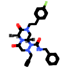 C#CCN1CC(=O)N2[C@@H](C(C)CC)C(=O)N(CCc3ccc(F)cc3)C[C@@H]2N1C(=O)NCc1ccccc1